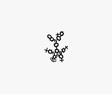 CC(C)(C)c1ccc(N2c3ccc(C(C)(C)C)cc3B3c4cc5c(cc4N(c4ccc(C(C)(C)C)cc4)c4cc(-c6ccc(N(c7ccc8c(c7)C(C)(C)c7ccccc7-8)c7ccc8ccccc8c7)cc6)cc2c43)OCCO5)cc1